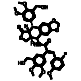 COc1ccc(F)c(/C=C(/C(=O)N[C@@H]2c3cc4c(cc3[C@@H](c3cc(CO)c(OC)c(OC)c3)[C@H]3C(=O)OC[C@@H]32)OCO4)c2cc(CO)c(OC)c(OC)c2)c1